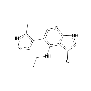 CCNc1c(-c2cn[nH]c2C)cnc2[nH]cc(Cl)c12